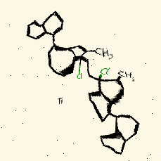 CC1=Cc2c(-c3cccc4ccccc34)cccc2C1(Cl)CCC1(Cl)C(C)=Cc2c(-c3cccc4ccccc34)cccc21.[Ti]